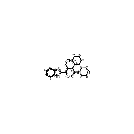 CC[C](C(=O)c1nc2ccccc2s1)C(C(=O)N1CCOCC1)C1CCCCC1